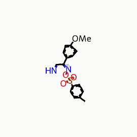 COc1ccc(/C(C=N)=N/OS(=O)(=O)c2ccc(C)cc2)cc1